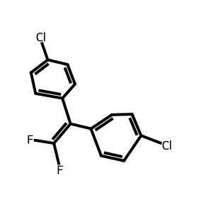 FC(F)=C(c1ccc(Cl)cc1)c1ccc(Cl)cc1